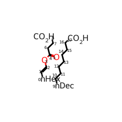 CCCCCCC=COC(=O)CCC(=O)O.CCCCCCCCCCCCCCCCCC(=O)O